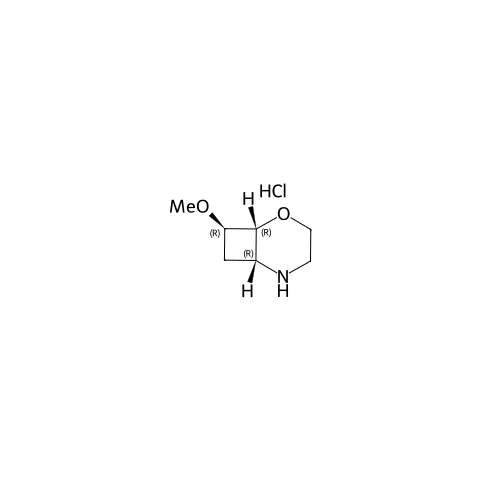 CO[C@@H]1C[C@H]2NCCO[C@H]21.Cl